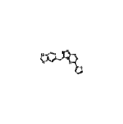 c1csc(-c2ccc3nnc(Cc4ccc5c(c4)OCO5)n3n2)c1